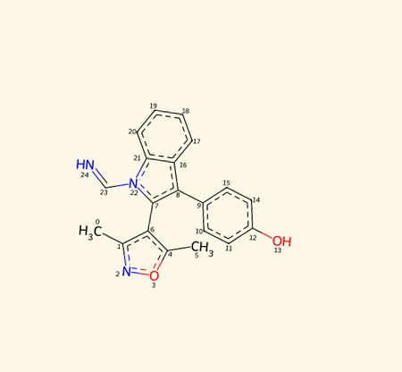 Cc1noc(C)c1-c1c(-c2ccc(O)cc2)c2ccccc2n1C=N